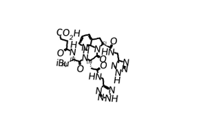 CC[C@H](C)[C@H](NC(=O)CCC(=O)O)C(=O)N[C@@H](CC(=O)NCc1nn[nH]n1)C(=O)N1c2ncccc2C[C@H]1C(=O)NCc1nn[nH]n1